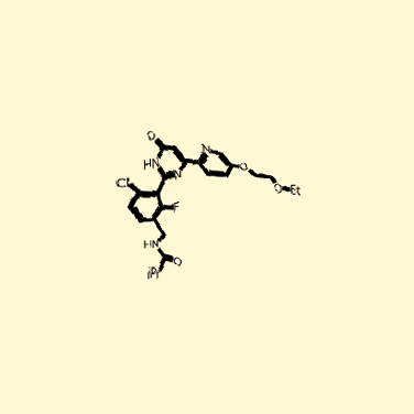 CCOCCOc1ccc(-c2cc(=O)[nH]c(-c3c(Cl)ccc(CNC(=O)C(C)C)c3F)n2)nc1